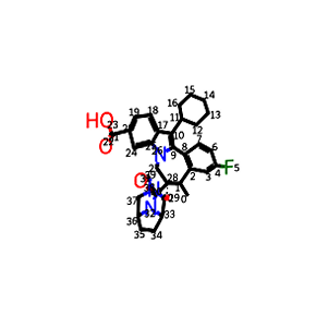 CC1c2cc(F)ccc2-c2c(C3CCCCC3)c3ccc(C(=O)O)cc3n2C[C@]1(C)C(=O)N1C2CCC1CN(C)C2